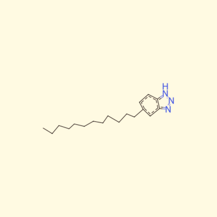 CCCCCCCCCCCCc1ccc2[nH]nnc2c1